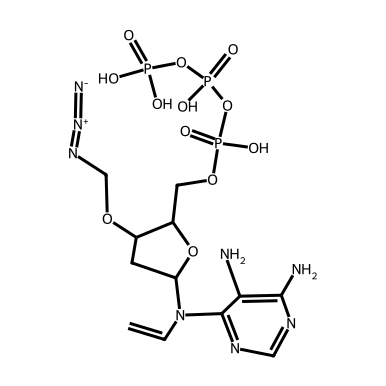 C=CN(c1ncnc(N)c1N)C1CC(OCN=[N+]=[N-])C(COP(=O)(O)OP(=O)(O)OP(=O)(O)O)O1